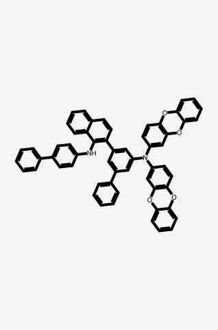 c1ccc(-c2ccc(Nc3c(-c4cc(-c5ccccc5)cc(N(c5ccc6c(c5)Oc5ccccc5O6)c5ccc6c(c5)Oc5ccccc5O6)c4)ccc4ccccc34)cc2)cc1